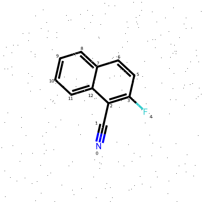 N#Cc1c(F)ccc2ccccc12